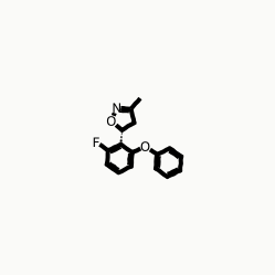 CC1=NO[C@@H](c2c(F)cccc2Oc2ccccc2)C1